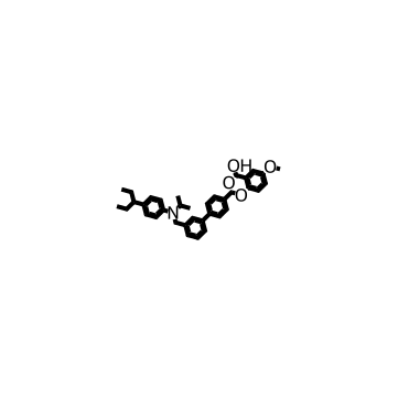 CCC(CC)c1ccc(N(Cc2cccc(-c3ccc(COc4ccc(OC)cc4C(=O)O)cc3)c2)C(C)C)cc1